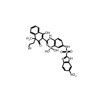 CC(C)CCC1(C)C(=O)C(C2=NS(O)(O)c3cc(NS(=O)(=O)c4nc5ccc([N+](=O)[O-])cc5[nH]4)ccc3N2)=C(O)c2ccccc21